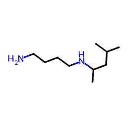 CC(C)CC(C)NCCCCN